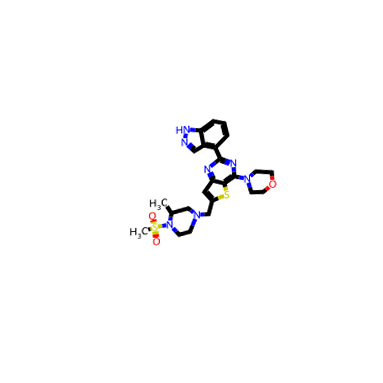 CC1CN(Cc2cc3nc(-c4cccc5[nH]ncc45)nc(N4CCOCC4)c3s2)CCN1S(C)(=O)=O